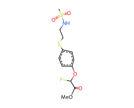 COC(=O)C(F)Oc1ccc(SCCNS(C)(=O)=O)cc1